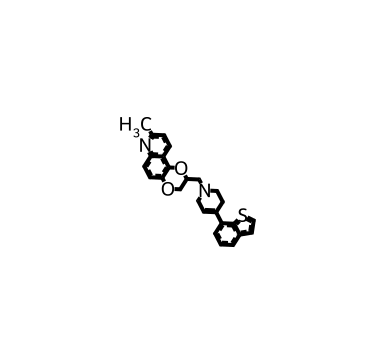 Cc1ccc2c3c(ccc2n1)OCC(CN1CC=C(c2cccc4ccsc24)CC1)O3